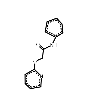 O=C(COc1ccccn1)Nc1ccccc1